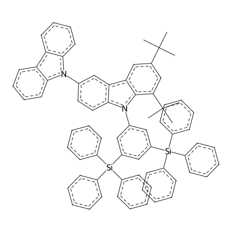 CC(C)(C)c1cc(C(C)(C)C)c2c(c1)c1cc(-n3c4ccccc4c4ccccc43)ccc1n2-c1cc([Si](c2ccccc2)(c2ccccc2)c2ccccc2)cc([Si](c2ccccc2)(c2ccccc2)c2ccccc2)c1